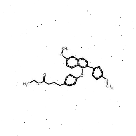 CCOC(=O)CCCc1ccc(Oc2c(-c3ccc(OC)cc3)ccc3cc(OC)ccc23)cc1